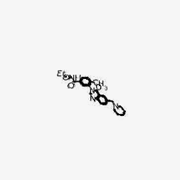 CCONC(=O)c1ccc(C)c(-n2cnc3ccc(CN4CCCCC4)cc3c2=O)c1